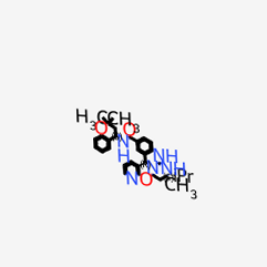 CC(C)[C@]1(C)CC(=O)N([C@@H](c2cccnc2)c2cccc(C(=O)N[C@H]3CC(C)(C)Oc4ccccc43)c2)C(=N)N1